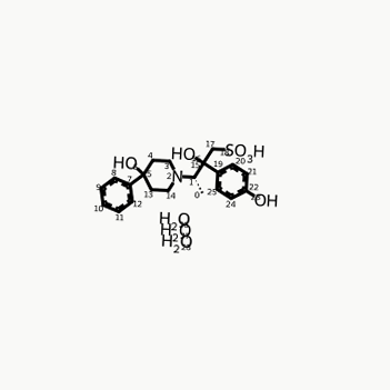 C[C@H](N1CCC(O)(c2ccccc2)CC1)C(O)(CS(=O)(=O)O)c1ccc(O)cc1.O.O.O